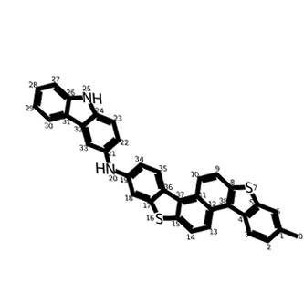 Cc1ccc2c(c1)sc1ccc3c(ccc4sc5cc(Nc6ccc7[nH]c8ccccc8c7c6)ccc5c43)c12